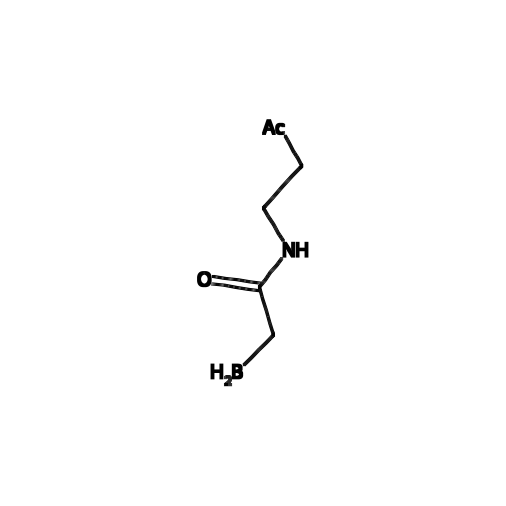 BCC(=O)NCCC(C)=O